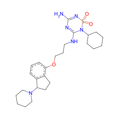 NC1=NS(=O)(=O)N(C2CCCCC2)C(NCCCOc2cccc3c2CCC3N2CCCCC2)=N1